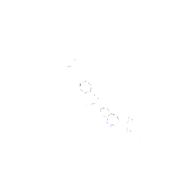 N=C(N)c1cnc2oc(C(=O)Nc3ccc(OCC(=O)O)cc3)cc2c1